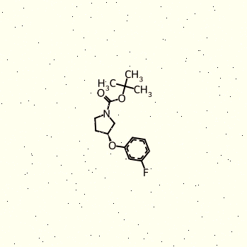 CC(C)(C)OC(=O)N1CC[C@H](Oc2[c]c(F)ccc2)C1